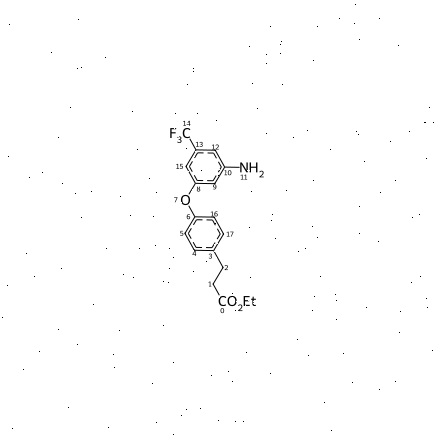 CCOC(=O)CCc1ccc(Oc2cc(N)cc(C(F)(F)F)c2)cc1